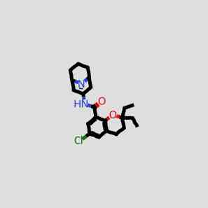 CCC1(CC)CCc2cc(Cl)cc(C(=O)NC3CC4CCCC(C3)N4C)c2O1